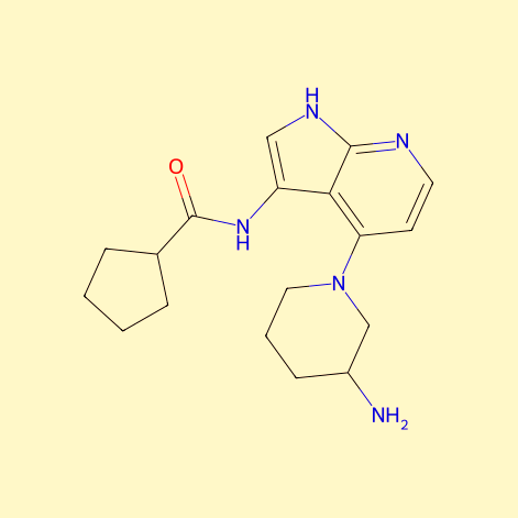 NC1CCCN(c2ccnc3[nH]cc(NC(=O)C4CCCC4)c23)C1